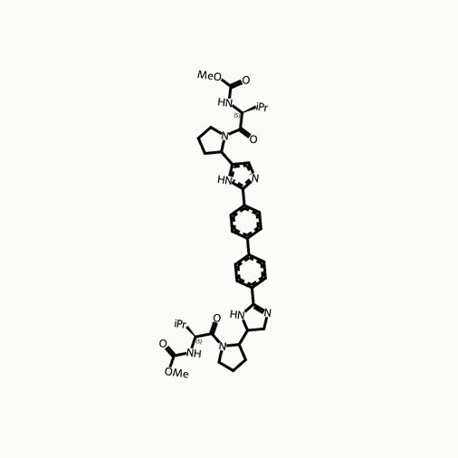 COC(=O)N[C@H](C(=O)N1CCCC1c1cnc(-c2ccc(-c3ccc(C4=NCC(C5CCCN5C(=O)[C@@H](NC(=O)OC)C(C)C)N4)cc3)cc2)[nH]1)C(C)C